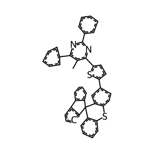 Cc1c(-c2ccccc2)nc(-c2ccccc2)nc1-c1ccc(-c2ccc3c(c2)C2(c4ccccc4S3)c3ccccc3-c3ccccc32)s1